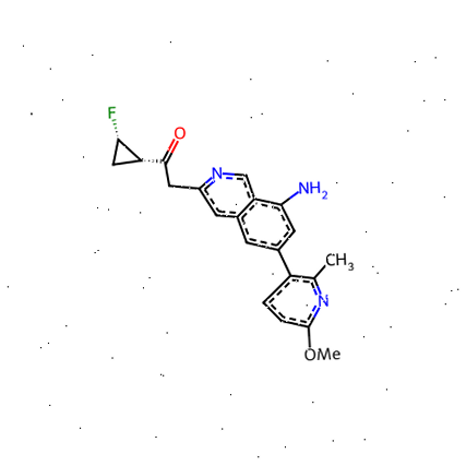 COc1ccc(-c2cc(N)c3cnc(CC(=O)[C@@H]4C[C@@H]4F)cc3c2)c(C)n1